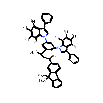 [2H]c1c([2H])c([2H])c2c(c(-c3ccccc3)cn2-c2cc(C(C)CC(CC)c3ccc4c(c3)C(C)(C)c3ccccc3-4)cc(-n3cc(-c4ccccc4)c4c([2H])c([2H])c([2H])c([2H])c43)c2)c1[2H]